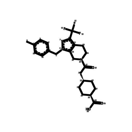 Cc1ccc(Cn2nc(C(F)(F)F)c3c2CN(C(=O)C[C@H]2CC[C@H](C(=O)O)CC2)CC3)cc1